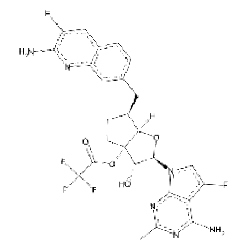 Cc1nc(N)c2c(F)cn([C@@H]3O[C@@H]4[C@H](Cc5ccc6cc(F)c(N)nc6c5)CC[C@]4(OC(=O)C(F)(F)F)[C@H]3O)c2n1